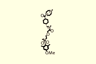 COc1cc(C)c(S(=O)(=O)N(C)CCOCC(=O)N(C)C[C@H]2CC[C@H](C(=O)N3CCN(C)CC3)CC2)c(C)c1